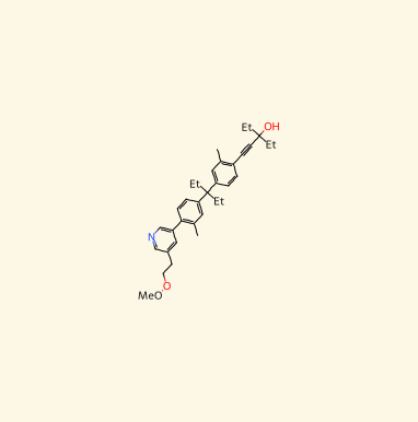 CCC(O)(C#Cc1ccc(C(CC)(CC)c2ccc(-c3cncc(CCOOC)c3)c(C)c2)cc1C)CC